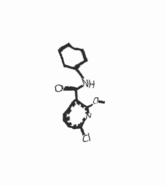 COc1nc(Cl)ccc1C(=O)NC1CCCCC1